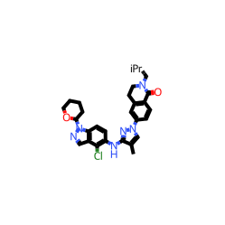 Cc1cn(-c2ccc3c(c2)CCN(CC(C)C)C3=O)nc1Nc1ccc2c(cnn2C2CCCCO2)c1Cl